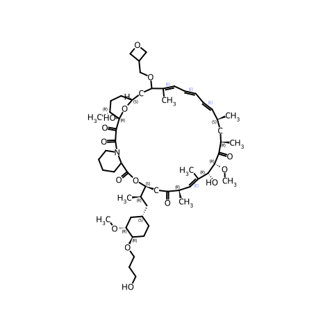 CO[C@@H]1C[C@H](C[C@@H](C)[C@@H]2CC(=O)[C@H](C)/C=C(\C)[C@@H](O)[C@@H](OC)C(=O)[C@H](C)C[C@H](C)/C=C/C=C/C=C(\C)C(OCC3COC3)C[C@@H]3CC[C@@H](C)[C@@](O)(O3)C(=O)C(=O)N3CCCCC3C(=O)O2)CC[C@H]1OCCCO